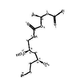 CCC(=O)O[C@@H](OC(=O)NC[C@@H](C[C@@H](C)CCC(C)C)C(=O)O)C(C)C